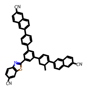 CC1CC(c2cc(-c3ccc(-c4ccc5cc(C#N)ccc5c4)cc3)cc(-c3nc4ccc(C#N)cc4s3)c2)=CC=C1c1ccc2cc(C#N)ccc2c1